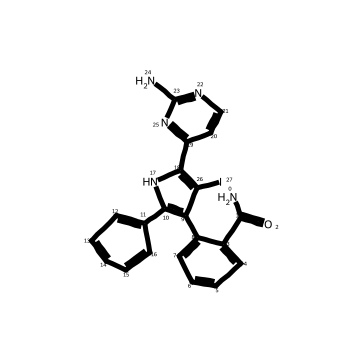 NC(=O)c1ccccc1-c1c(-c2ccccc2)[nH]c(-c2ccnc(N)n2)c1I